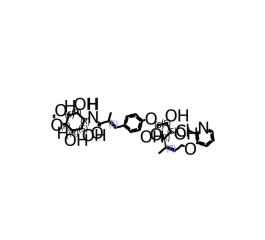 C/C(=C/COc1cccnc1Cl)[C@H]1O[C@@H](Oc2ccc(/C=C(\C)C(=O)N[C@@H]3[C@H](O)[C@@H](O)[C@H]4OCO[C@H]4[C@@H]3O)cc2O)[C@@H](O)[C@@H]1O